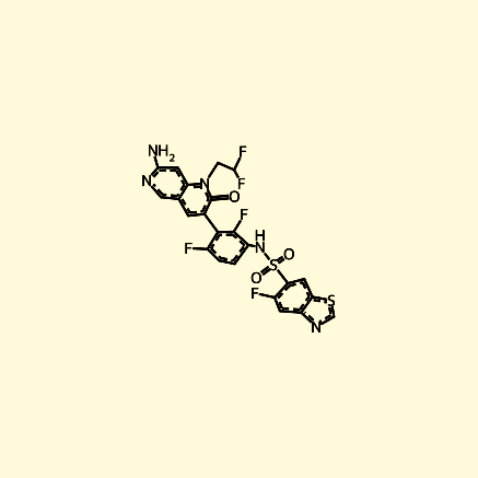 Nc1cc2c(cn1)cc(-c1c(F)ccc(NS(=O)(=O)c3cc4scnc4cc3F)c1F)c(=O)n2CC(F)F